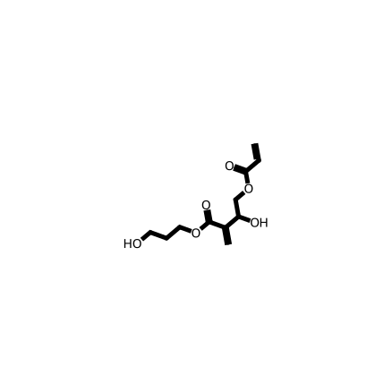 C=CC(=O)OCC(O)C(=C)C(=O)OCCCO